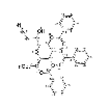 CCCCCCCCO[C@H]1O[C@H](C(O)N=[N+]=[N-])[C@@H](OC(=O)c2ccccc2)[C@H](OC(=O)c2ccccc2)[C@@H]1OC(=O)c1ccccc1